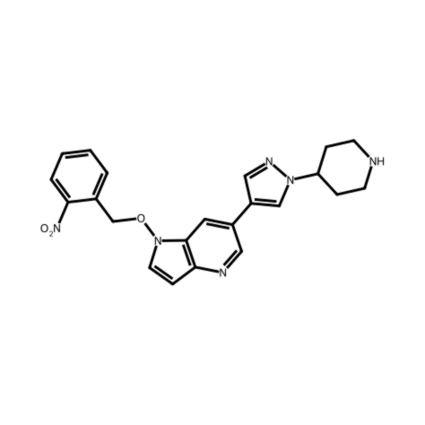 O=[N+]([O-])c1ccccc1COn1ccc2ncc(-c3cnn(C4CCNCC4)c3)cc21